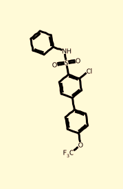 O=S(=O)(Nc1ccccc1)c1ccc(-c2ccc(OC(F)(F)F)cc2)cc1Cl